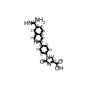 N=C(N)c1ccc2cc(-c3ccc(N4CC(C(=O)O)=NC4=O)cc3)ncc2c1